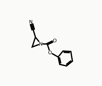 N#CC1CN1C(=O)Oc1ccccc1